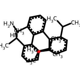 CC(C)c1cccc(C(C)C)c1-c1cccc(C(=N)N)c1-c1c(C(C)C)cccc1C(C)C